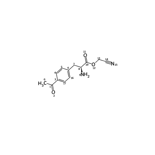 CC(=O)c1ccc(C[C@H](N)C(=O)OCC#N)cc1